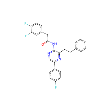 O=C(Cc1ccc(F)c(F)c1)Nc1ncc(-c2ccc(F)cc2)nc1CCc1ccccc1